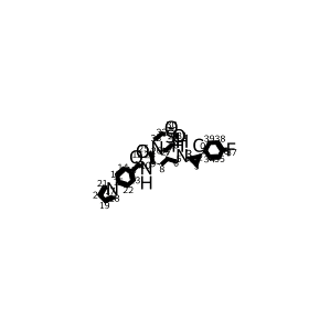 CC1([C@@H]2C[C@H]2NCCC[C@H](NC(=O)c2ccc(-n3cccc3)cc2)C(=O)N2CCS(=O)(=O)CC2)C=CC(F)=CC1